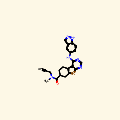 C#CCN(C)C(=O)C1CCc2c(sc3ncnc(Nc4ccc5[nH]ncc5c4)c23)C1